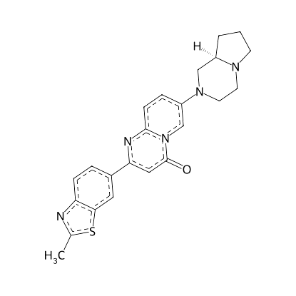 Cc1nc2ccc(-c3cc(=O)n4cc(N5CCN6CCC[C@@H]6C5)ccc4n3)cc2s1